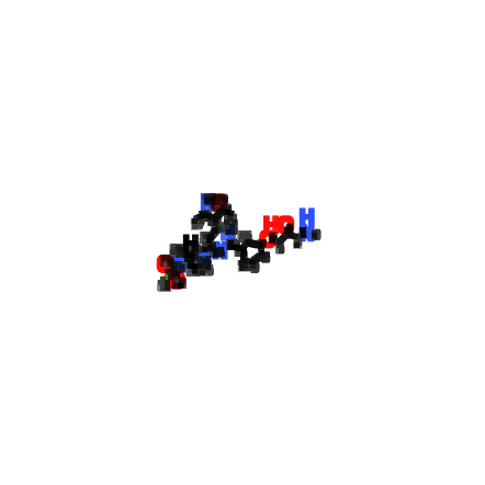 CNCC(O)COc1cccc(-c2nc(-c3c(C)noc3C)cc(N3CC4[C@@H]3CN4S(C)(=O)=O)n2)c1